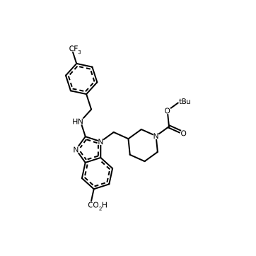 CC(C)(C)OC(=O)N1CCCC(Cn2c(NCc3ccc(C(F)(F)F)cc3)nc3cc(C(=O)O)ccc32)C1